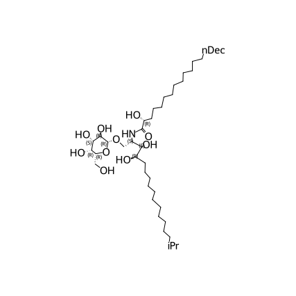 CCCCCCCCCCCCCCCCCCCCC[C@@H](O)C(=O)N[C@@H](CO[C@@H]1O[C@H](CO)[C@H](O)[C@H](O)[C@H]1O)[C@H](O)[C@H](O)CCCCCCCCCCCC(C)C